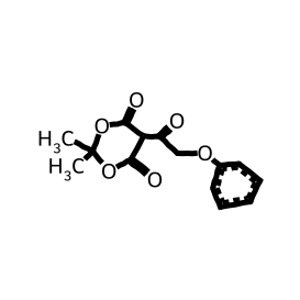 CC1(C)OC(=O)C(C(=O)COc2ccccc2)C(=O)O1